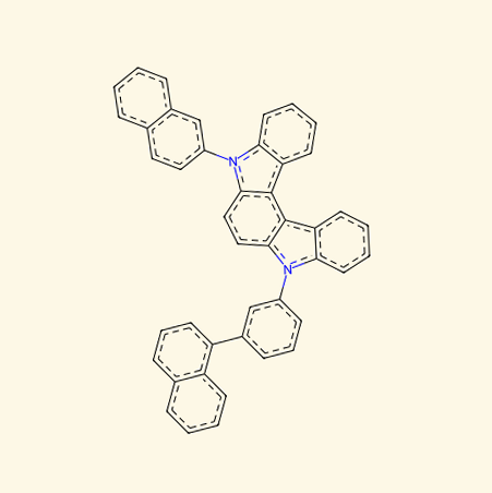 c1cc(-c2cccc3ccccc23)cc(-n2c3ccccc3c3c4c5ccccc5n(-c5ccc6ccccc6c5)c4ccc32)c1